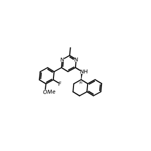 COc1cccc(-c2cc(N[C@@H]3CCCc4ccccc43)nc(C)n2)c1F